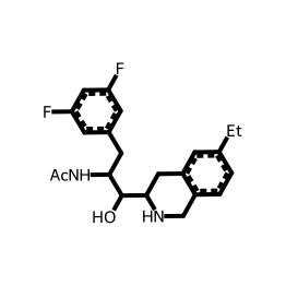 CCc1ccc2c(c1)CC(C(O)C(Cc1cc(F)cc(F)c1)NC(C)=O)NC2